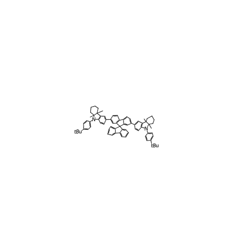 CC(C)(C)c1ccc(N2c3ccc(-c4ccc5c(c4)C4(c6ccccc6-c6ccccc64)c4cc(-c6ccc7c(c6)C6(C)CCCCC6(C)N7c6ccc(C(C)(C)C)cc6)ccc4-5)cc3C3(C)CCCCC23C)cc1